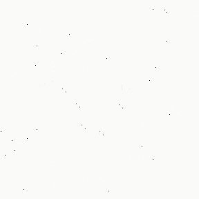 C=CC(=O)N1CCN(c2ncnc3c2CCN(C2=C(O)C=CC4C=CC=CC24)C3)CC1